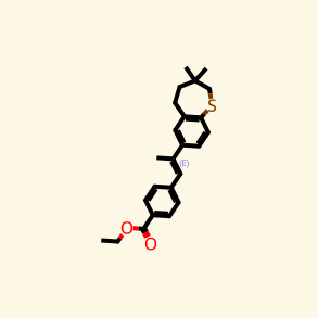 CCOC(=O)c1ccc(/C=C(\C)c2ccc3c(c2)CCC(C)(C)CS3)cc1